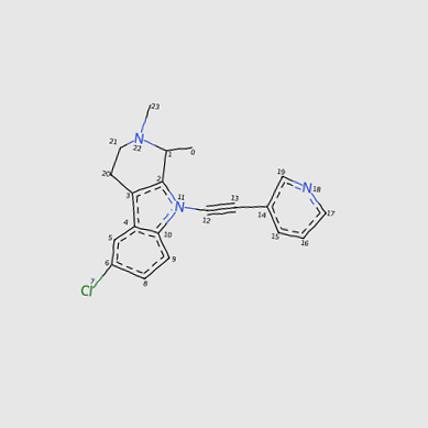 CC1c2c(c3cc(Cl)ccc3n2C#Cc2cccnc2)CCN1C